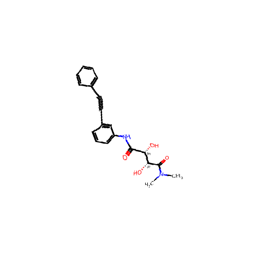 CN(C)C(=O)[C@H](O)[C@@H](O)C(=O)Nc1cccc(C#Cc2ccccc2)c1